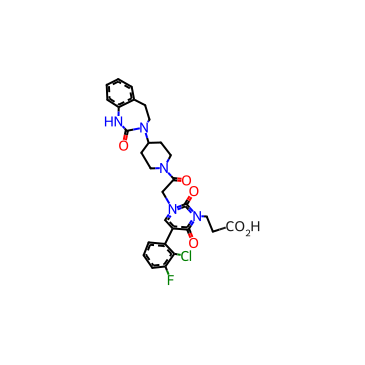 O=C(O)CCn1c(=O)c(-c2cccc(F)c2Cl)cn(CC(=O)N2CCC(N3CCc4ccccc4NC3=O)CC2)c1=O